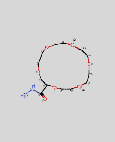 NNC(=O)C1COCCOCCOCCOCCOCCO1